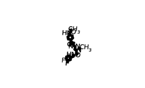 CC(=O)NC1CCC(C2CC(c3cc(C(=O)NCc4ccc(F)c(F)c4)nc(C)n3)=NO2)CC1